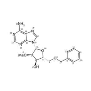 CO[C@@H]1[C@H](O)[C@@H](COCc2ccccc2)O[C@H]1n1cnc2c(N)ncnc21